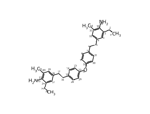 CCc1cc(CCc2ccc(Oc3ccc(CCc4cc(C)c(N)c(CC)c4)cc3)cc2)cc(C)c1N